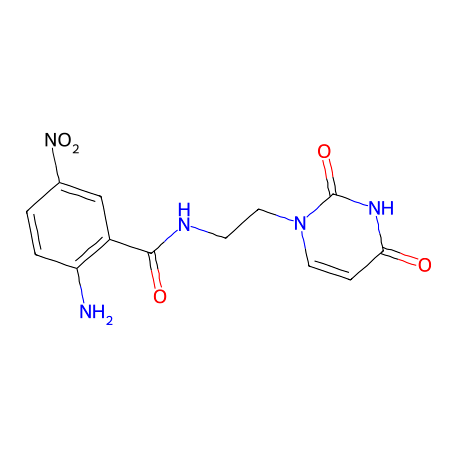 Nc1ccc([N+](=O)[O-])cc1C(=O)NCCn1ccc(=O)[nH]c1=O